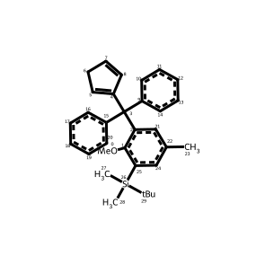 COc1c(C(C2=CCC=C2)(c2ccccc2)c2ccccc2)cc(C)cc1[Si](C)(C)C(C)(C)C